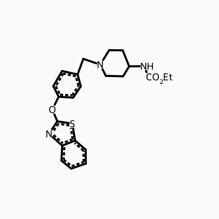 CCOC(=O)NC1CCN(Cc2ccc(Oc3nc4ccccc4s3)cc2)CC1